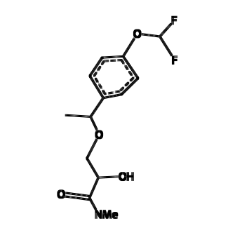 CNC(=O)C(O)COC(C)c1ccc(OC(F)F)cc1